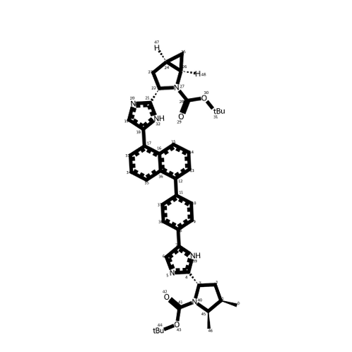 C[C@@H]1C[C@@H](c2ncc(-c3ccc(-c4cccc5c(-c6cnc([C@@H]7C[C@H]8C[C@H]8N7C(=O)OC(C)(C)C)[nH]6)cccc45)cc3)[nH]2)N(C(=O)OC(C)(C)C)[C@@H]1C